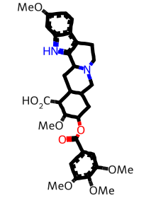 COc1ccc2c3c([nH]c2c1)C1CC2C(CC(OC(=O)c4cc(OC)c(OC)c(OC)c4)C(OC)C2C(=O)O)CN1CC3